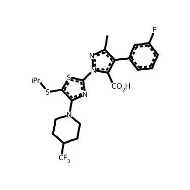 Cc1nn(-c2nc(N3CCC(C(F)(F)F)CC3)c(SC(C)C)s2)c(C(=O)O)c1-c1cccc(F)c1